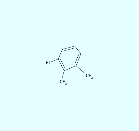 CCc1cccc(C(F)(F)F)c1C(F)(F)F